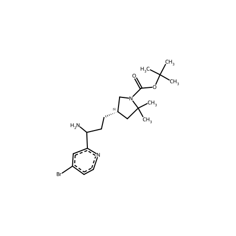 CC(C)(C)OC(=O)N1C[C@@H](CCC(N)c2cc(Br)ccn2)CC1(C)C